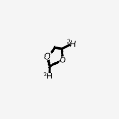 [2H]C1COC([2H])O1